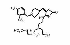 CN(CCO)CCNC1=NC(=O)SC1=CC1CCN(Cc2ccc(C(F)(F)F)cc2C(F)(F)F)CC1.O=C(O)C=CC(=O)O